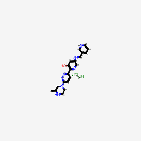 CC1CN(c2ccc(-c3ncc(NCc4cccnc4)cc3O)nn2)CCN1.Cl.Cl